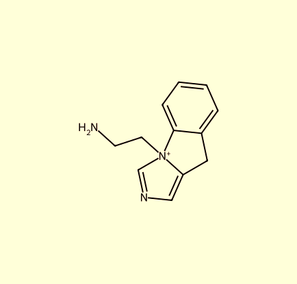 NCC[N+]12C=NC=C1Cc1ccccc12